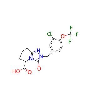 O=C(O)C1CCCc2nn(Cc3ccc(OC(F)(F)F)c(Cl)c3)c(=O)n21